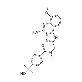 COc1cccc2c1nc(N)n1nc(CN(C)C(=O)c3ccc(C(C)(C)O)cc3)nc21